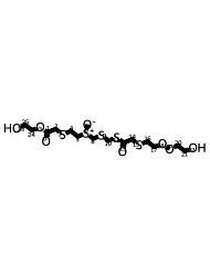 O=C(CSCC[S+]([O-])CSCSC(=O)CSCCOOCCO)OCCO